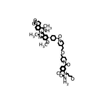 COc1cc2nc(C)nc(N[C@H](C)c3cccc4c3CCS4(=O)=O)c2cc1[C@H]1CC[C@H](C(=O)N2CCC(CCOCC3CCN(C(=O)c4ccc(Cl)c(N(CCC=O)C(N)=O)c4)CC3)CC2)CC1